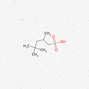 CC(CC(C)(C)C)CS(=O)(=O)O